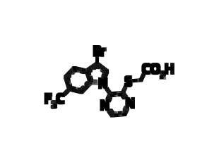 O=C(O)CSc1nccnc1-n1cc(Br)c2ccc(C(F)(F)F)cc21